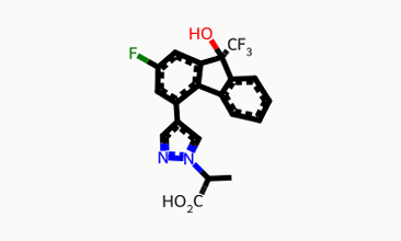 CC(C(=O)O)n1cc(-c2cc(F)cc3c2-c2ccccc2C3(O)C(F)(F)F)cn1